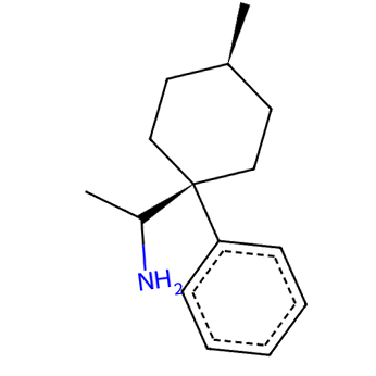 CC(N)[C@]1(c2ccccc2)CC[C@H](C)CC1